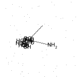 CCCCCCCCCCCCCCCC(=O)O[C@H](COC(=O)CCCCCCCCCCCCCCN)COP(=O)(O)OC1C(O)[C@@H](OP(=O)(O)O)C(O)[C@@H](O)[C@H]1O